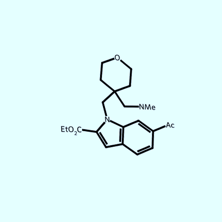 CCOC(=O)c1cc2ccc(C(C)=O)cc2n1CC1(CNC)CCOCC1